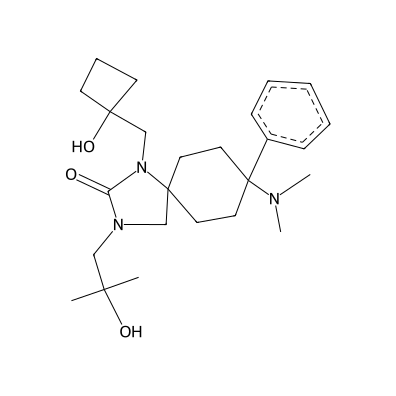 CN(C)C1(c2ccccc2)CCC2(CC1)CN(CC(C)(C)O)C(=O)N2CC1(O)CCC1